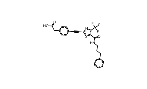 O=C(O)Cc1ccc(C#Cc2nc(C(F)(F)F)c(C(=O)NCCCc3ccccc3)s2)cc1